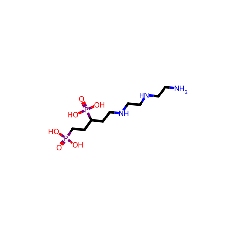 NCCNCCNCCC(CCP(=O)(O)O)P(=O)(O)O